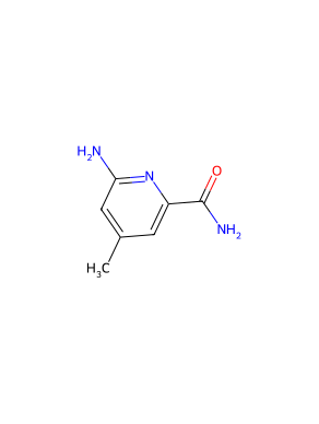 Cc1cc(N)nc(C(N)=O)c1